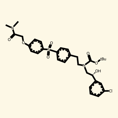 CN(C)C(=O)COc1ccc(S(=O)(=O)c2ccc(CCN(C[C@H](O)c3cccc(Cl)c3)C(=O)OC(C)(C)C)cc2)cc1